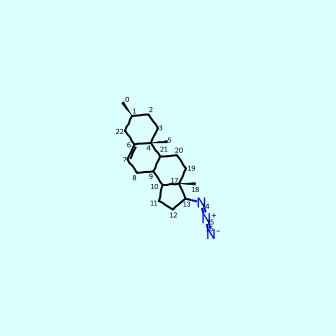 C[C@H]1CC[C@@]2(C)C(=CCC3C4CCC(N=[N+]=[N-])[C@@]4(C)CCC32)C1